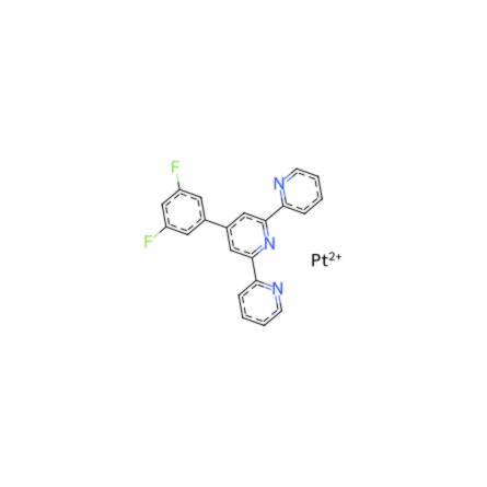 Fc1cc(F)cc(-c2cc(-c3ccccn3)nc(-c3ccccn3)c2)c1.[Pt+2]